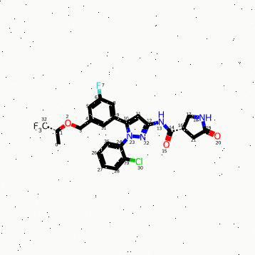 C[C@@H](OCc1cc(F)cc(-c2cc(NC(=O)[C@@H]3CNC(=O)C3)nn2-c2ccccc2Cl)c1)C(F)(F)F